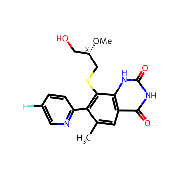 CO[C@@H](CO)CSc1c(-c2ccc(F)cn2)c(C)cc2c(=O)[nH]c(=O)[nH]c12